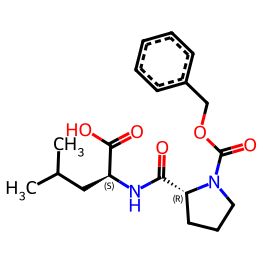 CC(C)C[C@H](NC(=O)[C@H]1CCCN1C(=O)OCc1ccccc1)C(=O)O